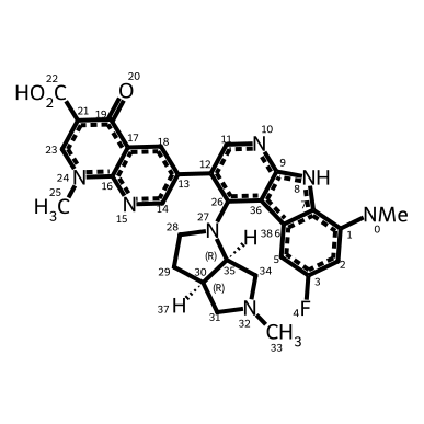 CNc1cc(F)cc2c1[nH]c1ncc(-c3cnc4c(c3)c(=O)c(C(=O)O)cn4C)c(N3CC[C@@H]4CN(C)C[C@@H]43)c12